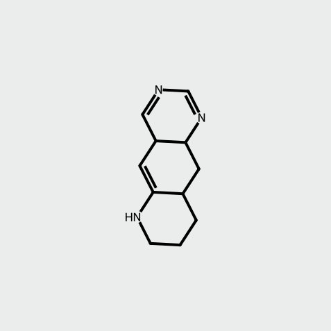 C1=NC=NC2CC3CCCNC3=CC12